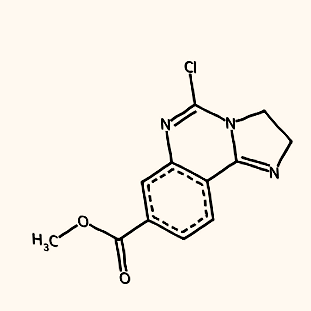 COC(=O)c1ccc2c(c1)N=C(Cl)N1CCN=C21